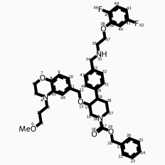 COCCCN1CCOc2ccc(COC3CN(C(=O)OCc4ccccc4)CCC3c3ccc(CNCCOc4cc(F)ccc4F)cc3)cc21